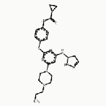 CCCN1CCN(c2cc(NC3CC=NN3)nc(Sc3ccc(NC(=O)C4CC4)cc3)n2)CC1